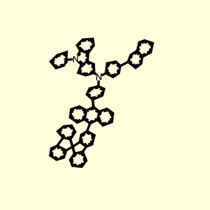 c1ccc(-n2c3ccccc3c3cc(N(c4ccc(-c5ccc6ccccc6c5)cc4)c4ccc(-c5c6ccccc6c(-c6ccc7c(c6)C6(c8ccccc8-c8ccccc86)c6ccccc6-7)c6ccccc56)cc4)ccc32)cc1